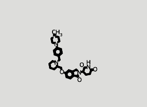 CN1CCN(c2ccc(CN3CCCCC3COc3ccc4c(c3)CN(C3CCC(=O)NC3=O)C4=O)cc2)CC1